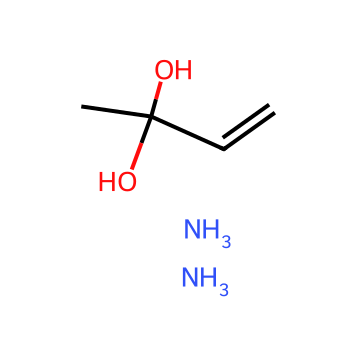 C=CC(C)(O)O.N.N